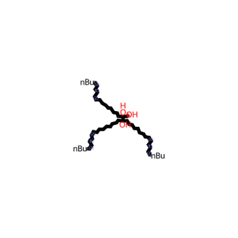 CCCC\C=C/C=C/C=C\CCCCCCCCC(O)(CO)C(O)(CCCCCCCC\C=C/C=C/C=C\CCCC)CCCCCCCC\C=C/C=C/C=C\CCCC